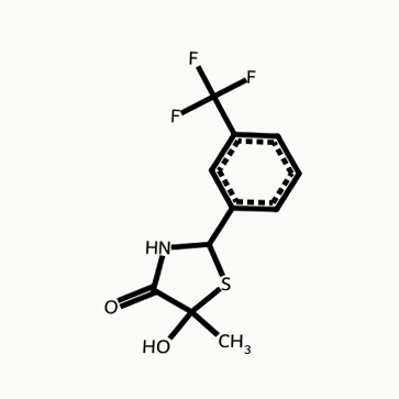 CC1(O)SC(c2cccc(C(F)(F)F)c2)NC1=O